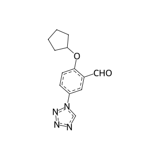 O=Cc1cc(-n2cnnn2)ccc1OC1CCCC1